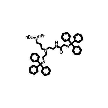 CCCCN(CCC)CCCN(CCNC(=O)CSC(c1ccccc1)(c1ccccc1)c1ccccc1)CCSC(c1ccccc1)(c1ccccc1)c1ccccc1